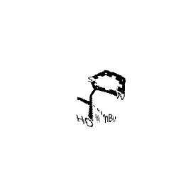 CCCC[C@@](C)(O)c1nccs1